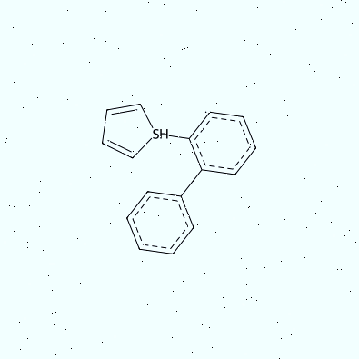 [c]1cccc(-c2ccccc2)c1[SH]1C=CC=C1